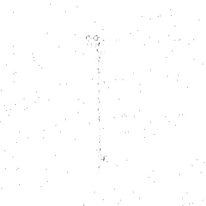 CC(C)(C)OC(=O)CC[C@H](NC(=O)CCOCCOCCOCCOCCOCCOCCOCCOCCOCCOCCOCCOCCNC(=O)CNC(=O)CNC(=O)c1cc(N2C(=O)C=CC2=O)ccc1CCC(=O)O)C(=O)OC(C)(C)C